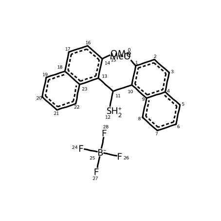 COc1ccc2ccccc2c1C([SH2+])c1c(OC)ccc2ccccc12.F[B-](F)(F)F